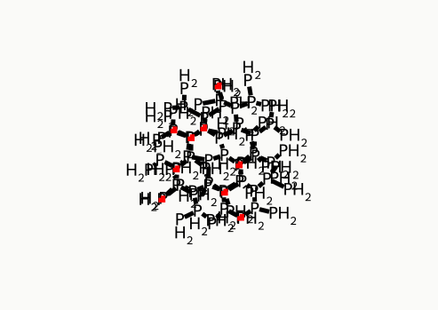 PP(P)P(P)P(P(P(P)P)P(P)P)P(P(P(P)P)P(P)P)P(P(P(P(P(P)P)P(P)P)P(P(P)P)P(P)P)P(P(P(P)P)P(P)P)P(P(P)P)P(P)P)P(P(P(P(P)P)P(P)P)P(P(P)P)P(P)P)P(P(P(P)P)P(P)P)P(P(P)P)P(P)P